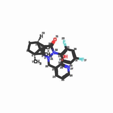 CC1(C)[C@H]2CC[C@]1(C)c1c2c(=O)n(-c2ccc(F)cc2F)n1Cc1cccnc1O